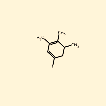 CC1=C(C)C(C)CC(I)=C1